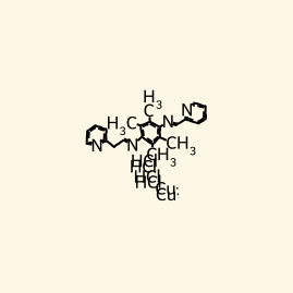 Cc1c(C)c(N=Cc2ccccn2)c(C)c(C)c1N=CCc1ccccn1.Cl.Cl.Cl.Cl.[Cu].[Cu]